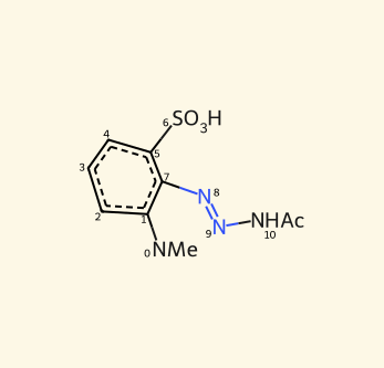 CNc1cccc(S(=O)(=O)O)c1N=NNC(C)=O